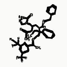 CCC(CO[C@H](C)c1cc(C(F)(F)F)cc(C(F)(F)F)c1)(c1ccccc1)N(CC(CC(C)=O)n1cn[nH]c1=O)C(=O)OCc1ccccc1